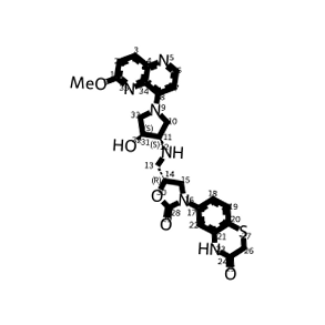 COc1ccc2nccc(N3C[C@H](NC[C@@H]4CN(c5ccc6c(c5)NC(=O)CS6)C(=O)O4)[C@@H](O)C3)c2n1